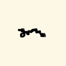 CSC(=O)OCC/C=C\CCS